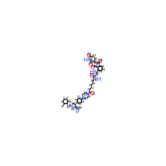 Cc1cccc(F)c1CN1C[C@H](c2ccc(N3CCN(C(=O)CCCCCNC(=O)CNc4cccc5c4C(=O)N(C4CCC(=O)NC4=O)C5=O)CC3)cc2)[C@@H](N(C)C)C1